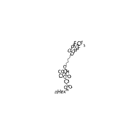 CCCCCC[C@H](C)OC(=O)c1ccc(OC(=O)c2ccc(OCCCCCCOC(=O)C(F)(F)C(F)(F)C(F)(F)C(F)(F)F)cc2-c2ccccc2C(=O)O)cc1